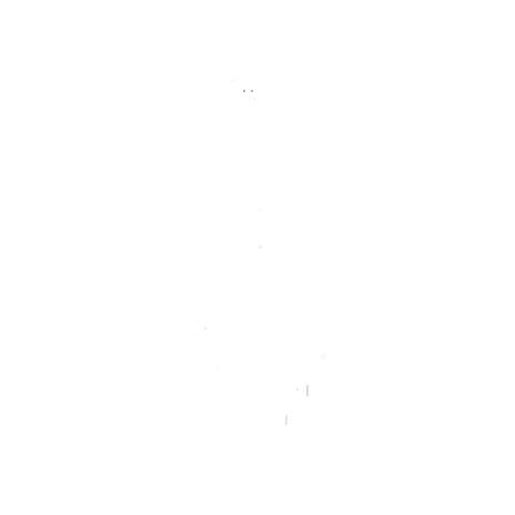 CCOC(=O)C1C(=O)C=C(OC(=O)c2ccc(OC)cc2)CC1(C)C